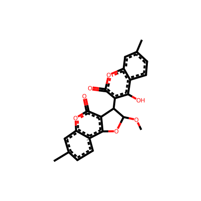 COC1Oc2c(c(=O)oc3cc(C)ccc23)C1c1c(O)c2ccc(C)cc2oc1=O